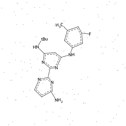 Cc1cc(F)cc(Nc2cc(NC(C)(C)C)nc(-c3nccc(N)n3)n2)c1